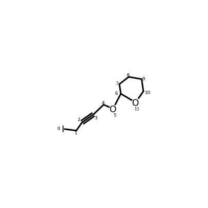 ICC#CCOC1CCCCO1